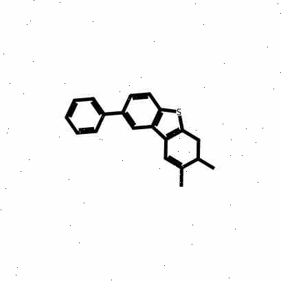 CC1=Cc2c(sc3ccc(-c4ccccc4)cc23)CC1C